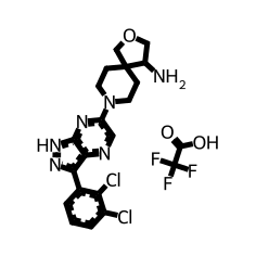 NC1COCC12CCN(c1cnc3c(-c4cccc(Cl)c4Cl)n[nH]c3n1)CC2.O=C(O)C(F)(F)F